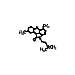 Cc1ccc2nc3c(C)ccc4c3c(c2c1)C(=O)N4CCN(C)C